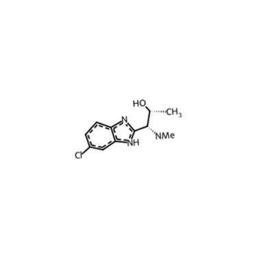 CN[C@H](c1nc2ccc(Cl)cc2[nH]1)[C@@H](C)O